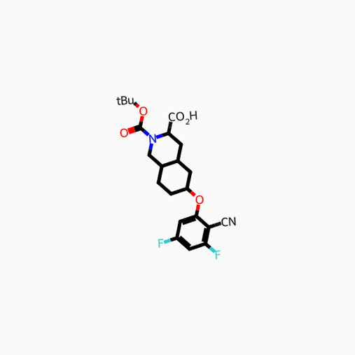 CC(C)(C)OC(=O)N1CC2CCC(Oc3cc(F)cc(F)c3C#N)CC2CC1C(=O)O